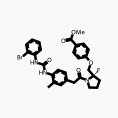 COC(=O)c1ccc(OC[C@@]2(F)CCCN2C(=O)Cc2ccc(NC(=O)Nc3ccccc3Br)c(C)c2)cc1